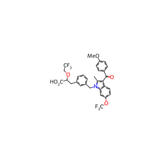 COc1ccc(C(=O)c2c(C)n(Cc3cccc(CC(OCC(F)(F)F)C(=O)O)c3)c3cc(OC(F)(F)F)ccc23)cc1